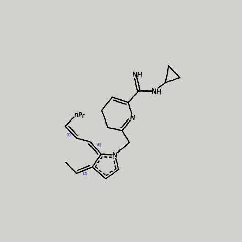 C/C=c1/ccn(CC2=NC(C(=N)NC3CC3)=CCC2)/c1=C/C=C\CCC